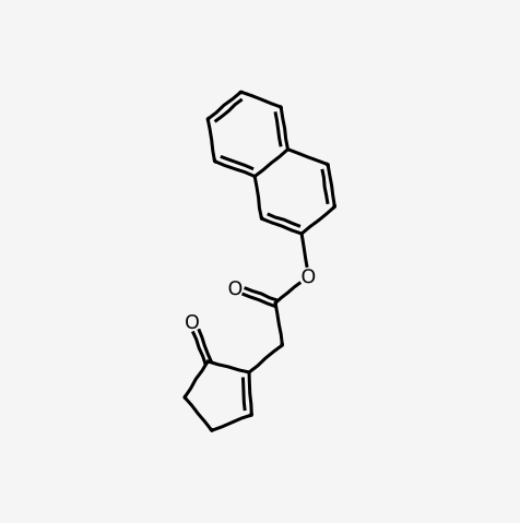 O=C(CC1=CCCC1=O)Oc1ccc2ccccc2c1